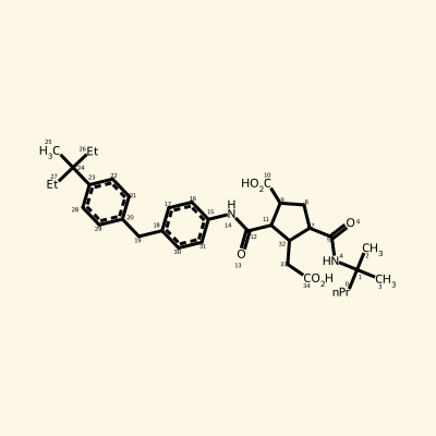 CCCC(C)(C)NC(=O)C1CC(C(=O)O)C(C(=O)Nc2ccc(Cc3ccc(C(C)(CC)CC)cc3)cc2)C1CC(=O)O